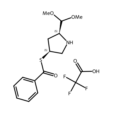 COC(OC)[C@@H]1C[C@H](SC(=O)c2ccccc2)CN1.O=C(O)C(F)(F)F